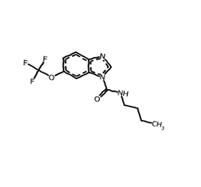 CCCCNC(=O)n1cnc2ccc(OC(F)(F)F)cc21